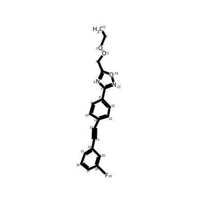 CCOOCc1nc(-c2ccc(C#Cc3cccc(F)c3)cc2)no1